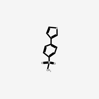 CS(=O)(=O)c1ccc(-c2c[c]sc2)cc1